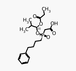 CCC(=O)O[C@@H](O[P@](=O)(CCCCc1ccccc1)CC(=O)O)C(C)C